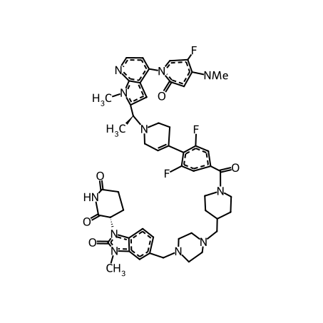 CNc1cc(=O)n(-c2ccnc3c2cc([C@H](C)N2CC=C(c4c(F)cc(C(=O)N5CCC(CN6CCN(Cc7ccc8c(c7)n(C)c(=O)n8[C@H]7CCC(=O)NC7=O)CC6)CC5)cc4F)CC2)n3C)cc1F